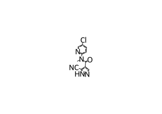 CN(C(=O)c1cn[nH]c1C#N)c1ccc(Cl)cn1